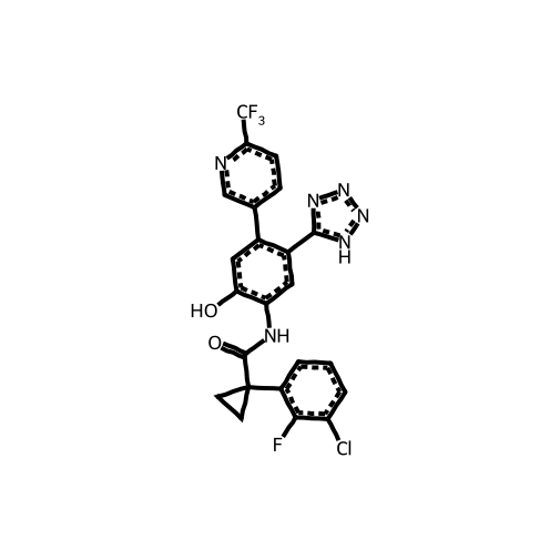 O=C(Nc1cc(-c2nnn[nH]2)c(-c2ccc(C(F)(F)F)nc2)cc1O)C1(c2cccc(Cl)c2F)CC1